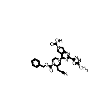 Cc1nnc(-c2nc3c(c(N4CCN(C(=O)OCc5ccccc5)C(CC#N)C4)n2)CN(C(=O)O)C3)o1